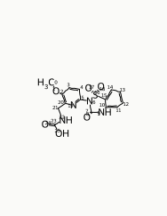 COc1ccc(N2C(=O)Nc3ccccc3S2(=O)=O)nc1CNC(=O)O